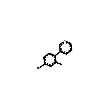 Cc1cc(Br)ccc1-c1cccnc1